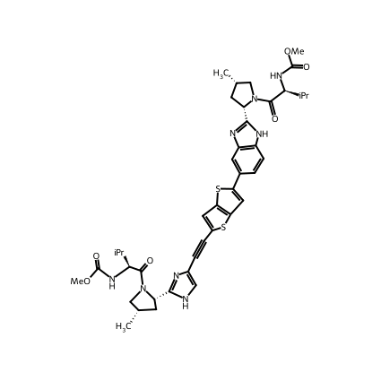 COC(=O)N[C@H](C(=O)N1C[C@@H](C)C[C@H]1c1nc(C#Cc2cc3sc(-c4ccc5[nH]c([C@@H]6C[C@H](C)CN6C(=O)[C@@H](NC(=O)OC)C(C)C)nc5c4)cc3s2)c[nH]1)C(C)C